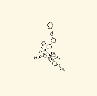 COc1ccc(CN([C@H]2C[C@@H](C)N(C(=O)OCc3ccccc3)[C@H]2COC2CCC(c3cccc(OCc4ccccc4)c3)CC2)S(=O)(=O)N(C)C)cc1